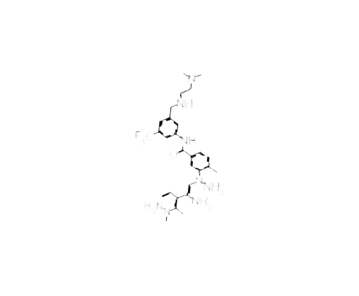 C=CC(/C(N)=C/N(N)c1cc(C(=O)Nc2cc(CNCCN(C)C)cc(C(F)(F)F)c2)ccc1C)=C(/C)N(C)N